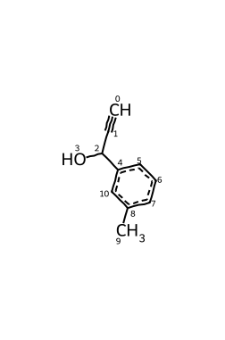 C#CC(O)c1cccc(C)c1